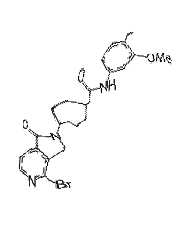 COc1cc(NC(=O)C2CCC(N3Cc4c(ccnc4Br)C3=O)CC2)ccc1C